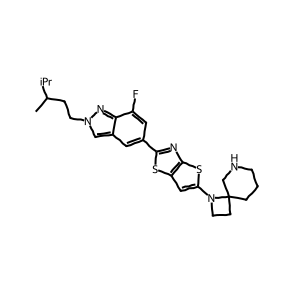 CC(C)C(C)CCn1cc2cc(-c3nc4sc(N5CCC56CCCNC6)cc4s3)cc(F)c2n1